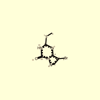 CSc1nc2c(Br)cnn2c(=O)[nH]1